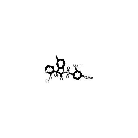 CCOc1ncccc1C1(O)C(=O)N(S(=O)(=O)c2ccc(OC)cc2OC)c2ccc(I)cc21